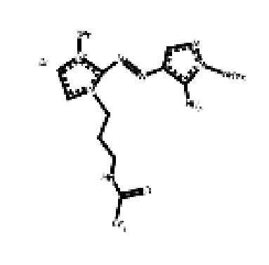 CCCCCCn1ncc(/N=N/c2n(CCCNC(=O)C(F)(F)F)cc[n+]2CCC)c1N.[Br-]